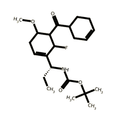 CC[C@@H](NC(=O)OC(C)(C)C)C1=CCC(OC)C(C(=O)C2CC=CCC2)C1F